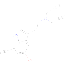 C#CCN(CC#C)CCc1c[nH]c2c(C#C)cc(O)cc12